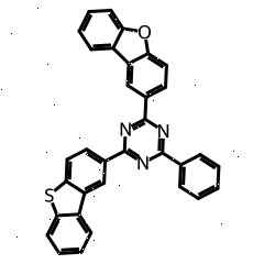 c1ccc(-c2nc(-c3ccc4oc5ccccc5c4c3)nc(-c3ccc4sc5ccccc5c4c3)n2)cc1